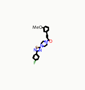 COc1cccc(C#CC(=O)N2CCN(c3nc(-c4ccc(F)cc4)ns3)CC2)c1